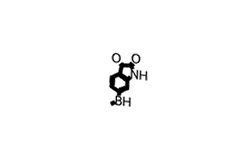 CBc1ccc2c(c1)NC(=O)C2=O